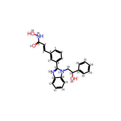 O=C(C=Cc1cccc(-c2nc3ccccc3n2C[C@H](O)c2ccccc2)c1)NO